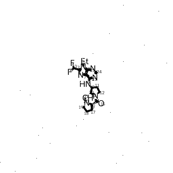 CCn1c(C(F)F)nc2c(NC3CCN(C(=O)[C@H]4CCCN4C)C3)ncnc21